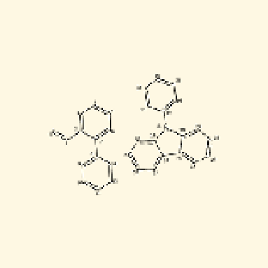 C=Cc1ccccc1-c1ccccc1.c1ccc(-n2c3ccccc3c3ccccc32)cc1